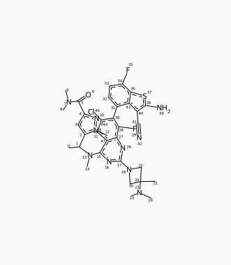 CC(c1cc(C(=O)N(C)C)nn1C)N(C)c1nc(N2CC(C)(N(C)C)C2)nc2c(F)c(-c3ccc(F)c4sc(N)c(C#N)c34)c(Cl)cc12